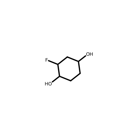 OC1CCC(O)C(F)C1